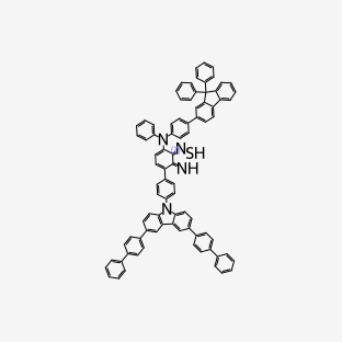 N=C1C(c2ccc(-n3c4ccc(-c5ccc(-c6ccccc6)cc5)cc4c4cc(-c5ccc(-c6ccccc6)cc5)ccc43)cc2)=CC=C(N(c2ccccc2)c2ccc(-c3ccc4c(c3)C(c3ccccc3)(c3ccccc3)c3ccccc3-4)cc2)/C1=N/S